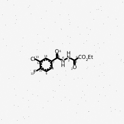 CCOC(=O)C(=O)NNC(=O)c1ccc(F)c(Cl)c1